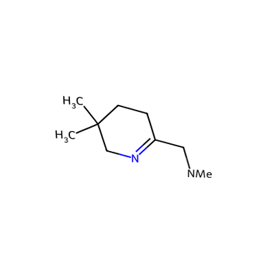 CNCC1=NCC(C)(C)CC1